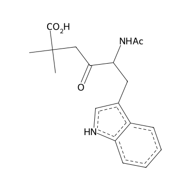 CC(=O)NC(Cc1c[nH]c2ccccc12)C(=O)CC(C)(C)C(=O)O